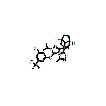 Cc1noc(N2C[C@H]3CC[C@@H](C2)C3Nc2nc(Oc3cc(Cl)cc(C(F)(F)F)c3)n(C(C)C)n2)n1